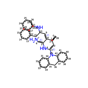 C=C/C=C(\NC(=C/N)/C(=C\C(Cc1ccccc1CC)Nc1ccccc1)CC)N1c2ccccc2Cc2ccccc21